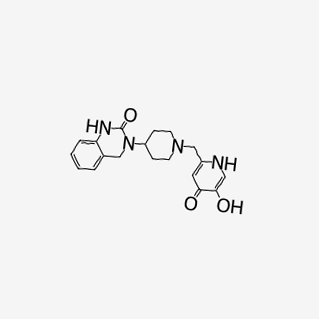 O=C1Nc2ccccc2CN1C1CCN(Cc2cc(=O)c(O)c[nH]2)CC1